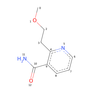 COCCc1ncccc1C(N)=O